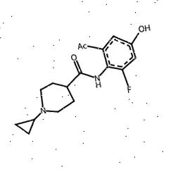 CC(=O)c1cc(O)cc(F)c1NC(=O)C1CCN(C2CC2)CC1